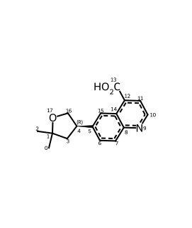 CC1(C)C[C@H](c2ccc3nccc(C(=O)O)c3c2)CO1